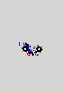 CC(NC(=O)c1ccccc1F)C(=O)Nc1cccc2[nH]ccc12